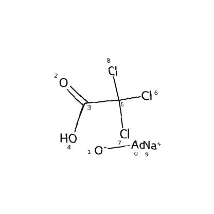 CC(=O)[O-].O=C(O)C(Cl)(Cl)Cl.[Na+]